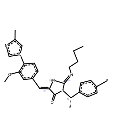 CCCC/N=C1\N/C(=C\c2ccc(-n3cnc(C)c3)c(OC)c2)C(=O)N1[C@@H](C)c1ccc(F)cc1